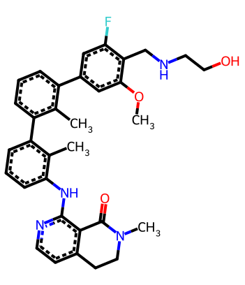 COc1cc(-c2cccc(-c3cccc(Nc4nccc5c4C(=O)N(C)CC5)c3C)c2C)cc(F)c1CNCCO